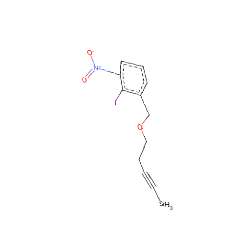 O=[N+]([O-])c1cccc(COCCC#C[SiH3])c1I